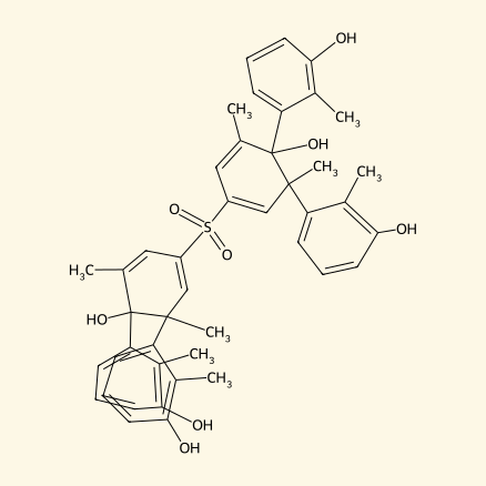 CC1=CC(S(=O)(=O)C2=CC(C)(c3cccc(O)c3C)C(O)(c3cccc(O)c3C)C(C)=C2)=CC(C)(c2cccc(O)c2C)C1(O)c1cccc(O)c1C